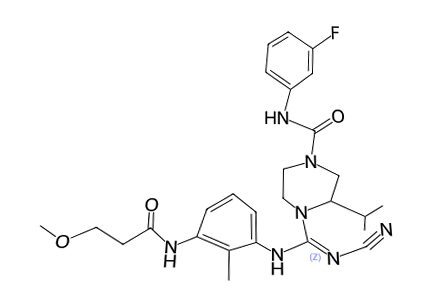 COCCC(=O)Nc1cccc(N/C(=N/C#N)N2CCN(C(=O)Nc3cccc(F)c3)CC2C(C)C)c1C